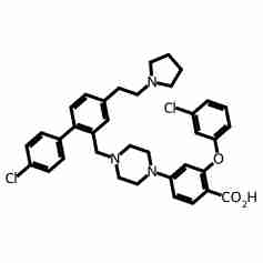 O=C(O)c1ccc(N2CCN(Cc3cc(CCN4CCCC4)ccc3-c3ccc(Cl)cc3)CC2)cc1Oc1cccc(Cl)c1